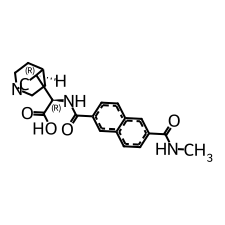 CNC(=O)c1ccc2cc(C(=O)N[C@@H](C(=O)O)[C@H]3CN4CCC3CC4)ccc2c1